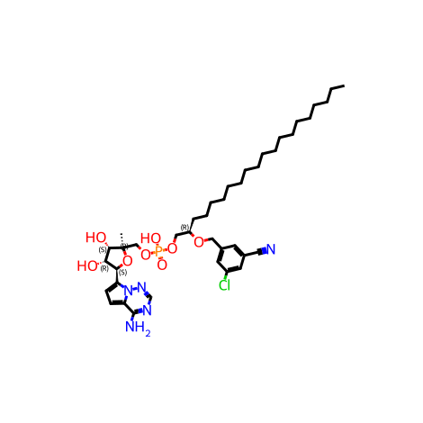 CCCCCCCCCCCCCCCCCC[C@H](COP(=O)(O)OC[C@@]1(C)O[C@@H](c2ccc3c(N)ncnn23)[C@H](O)[C@@H]1O)OCc1cc(Cl)cc(C#N)c1